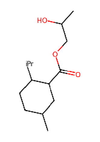 CC(O)COC(=O)C1CC(C)CCC1C(C)C